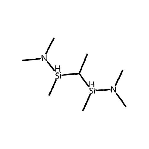 CC([SiH](C)N(C)C)[SiH](C)N(C)C